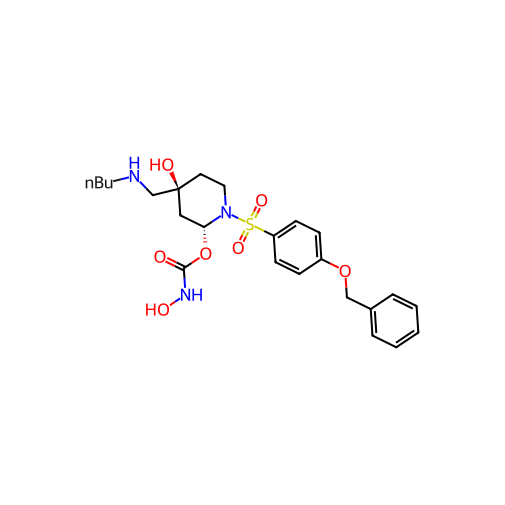 CCCCNC[C@]1(O)CCN(S(=O)(=O)c2ccc(OCc3ccccc3)cc2)[C@H](OC(=O)NO)C1